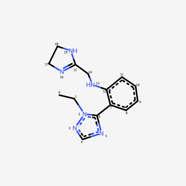 CCn1ncnc1-c1ccccc1NCC1=NCCN1